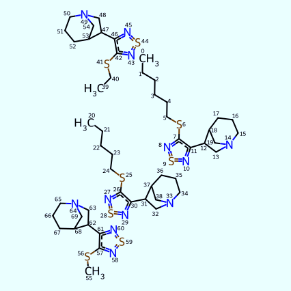 CCCCCCSc1nsnc1C1CN2CCCC1C2.CCCCCSc1nsnc1C1CN2CCCC1C2.CCSc1nsnc1C1CN2CCCC1C2.CSc1nsnc1C1CN2CCCC1C2